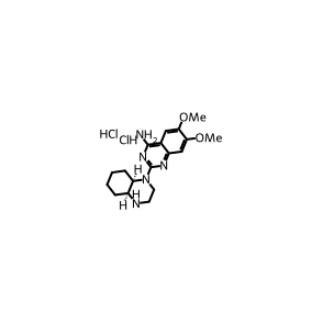 COc1cc2nc(N3CCN[C@H]4CCCC[C@H]43)nc(N)c2cc1OC.Cl.Cl